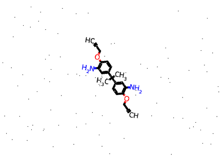 C#CCOc1ccc(C(C)(C)c2ccc(OCC#C)c(N)c2)cc1N